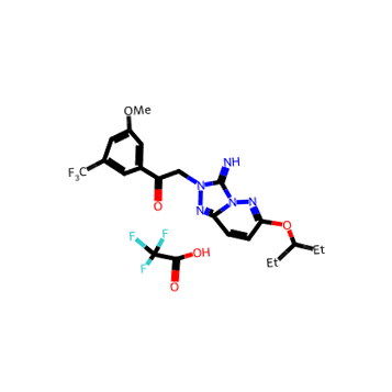 CCC(CC)Oc1ccc2nn(CC(=O)c3cc(OC)cc(C(F)(F)F)c3)c(=N)n2n1.O=C(O)C(F)(F)F